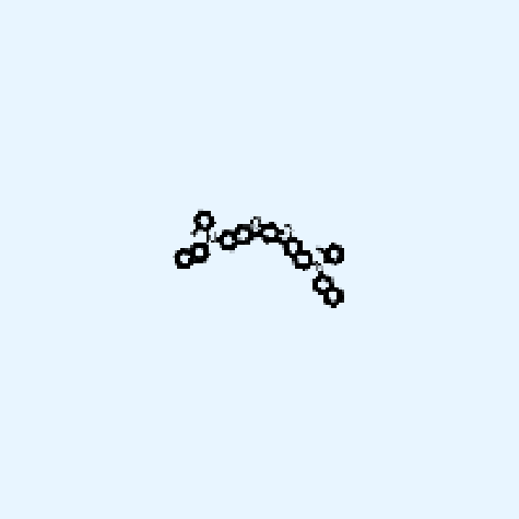 Cc1ccccc1N(c1ccc2ccccc2c1)c1ccc2cc3c(cc2c1)oc1cc2oc4cc5cc(N(c6ccc7ccccc7c6)c6ccccc6C)ccc5cc4c2cc13